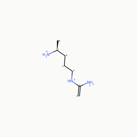 C=C(N)NCCC[C@H](C)N